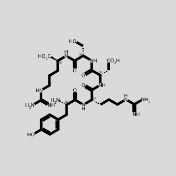 N=C(N)NCCC[C@H](NC(=O)[C@H](CO)NC(=O)[C@H](CC(=O)O)NC(=O)[C@H](CCCNC(=N)N)NC(=O)[C@@H](N)Cc1ccc(O)cc1)C(=O)O